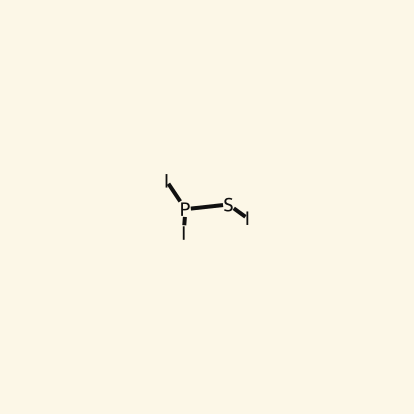 ISP(I)I